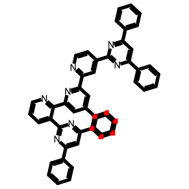 c1ccc(-c2cc(-c3cc(-c4nc(-c5ccccc5)cc(-c5ccccc5)n4)ccn3)nc(-c3ncccc3-c3nc(-c4ccccc4)cc(-c4ccccc4)n3)c2)cc1